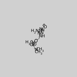 CN(C)CCCS(=O)(=O)N(C)c1ccc(CCNc2nc(N)n3nc(-c4ccco4)nc3n2)cc1